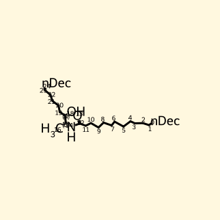 CCCCCCCCCCCCCCCCCCCCCC(=O)N[C@@H](C)[C@H](O)CCCCCCCCCCCCCCC